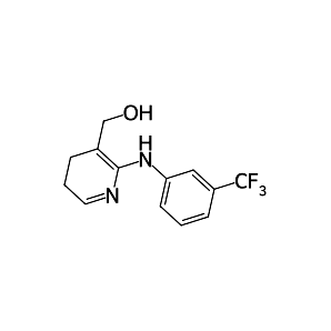 OCC1=C(Nc2cccc(C(F)(F)F)c2)N=CCC1